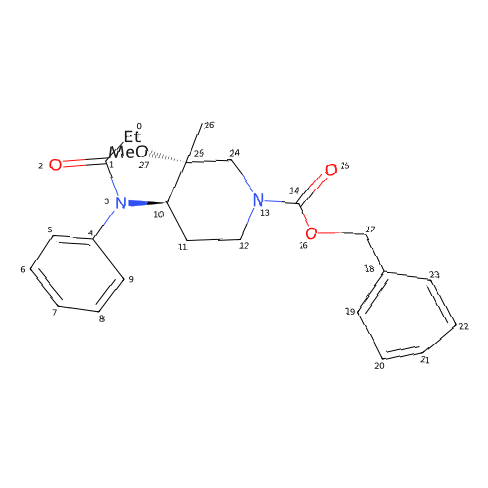 CCC(=O)N(c1ccccc1)[C@@H]1CCN(C(=O)OCc2ccccc2)C[C@@]1(C)OC